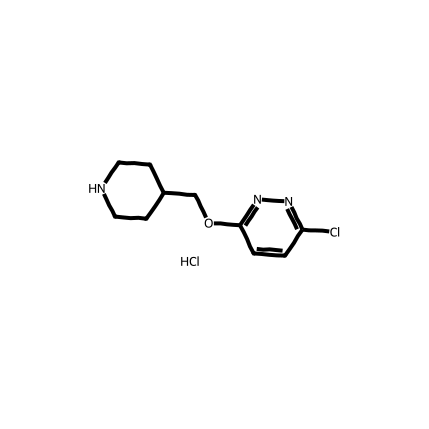 Cl.Clc1ccc(OCC2CCNCC2)nn1